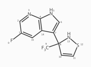 Fc1cnc2[nH]cc(C3(C(F)(F)F)C=CSN3)c2c1